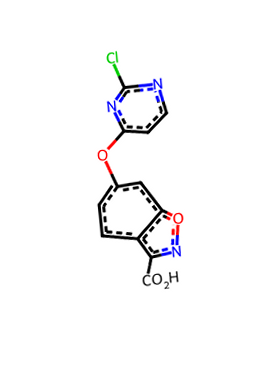 O=C(O)c1noc2cc(Oc3ccnc(Cl)n3)ccc12